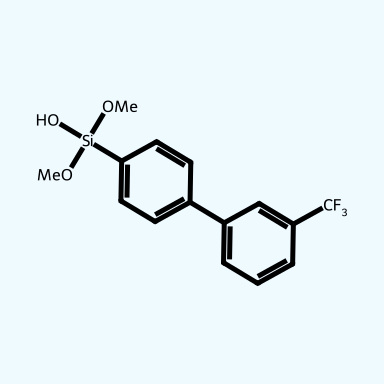 CO[Si](O)(OC)c1ccc(-c2cccc(C(F)(F)F)c2)cc1